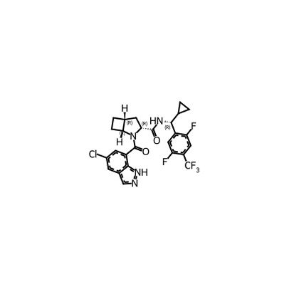 O=C(N[C@@H](c1cc(F)c(C(F)(F)F)cc1F)C1CC1)[C@H]1C[C@H]2CC[C@H]2N1C(=O)c1cc(Cl)cc2cn[nH]c12